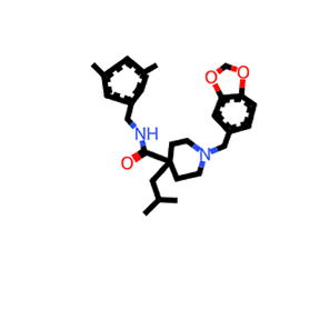 Cc1cc(C)cc(CNC(=O)C2(CC(C)C)CCN(Cc3ccc4c(c3)OCO4)CC2)c1